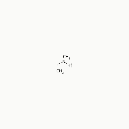 CC[N](C)[Hf]